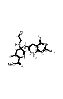 COC(=O)C1=C(F)CC(NCCCl)(NC(=O)Cc2c(N)nc(N)[nH]c2=O)C=N1